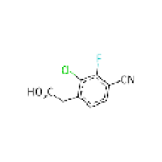 N#Cc1ccc(CC(=O)O)c(Cl)c1F